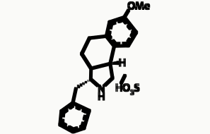 COc1ccc2c(c1)CCC1[C@@H](Cc3ccccc3)NC[C@@H]21.CS(=O)(=O)O